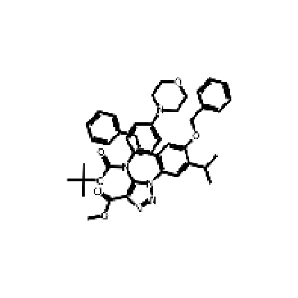 COC(=O)c1nnn(-c2cc(C(C)C)c(OCc3ccccc3)cc2OCc2ccccc2)c1N(C(=O)OC(C)(C)C)c1ccc(N2CCOCC2)cc1